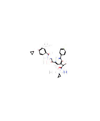 COc1cc(C(=O)NC[C@](O)(c2cc3c(c(-c4ccc(F)cc4)n2)OC[C@]3(C)C(=O)NC2(C)CC2)C(F)(F)F)ccc1OC1CC1